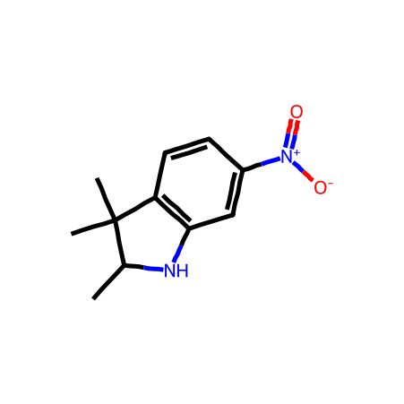 CC1Nc2cc([N+](=O)[O-])ccc2C1(C)C